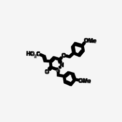 COc1ccc(COc2cc(C=CC(=O)O)c(=O)n(Cc3ccc(OC)cc3)n2)cc1